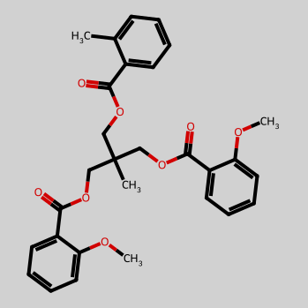 COc1ccccc1C(=O)OCC(C)(COC(=O)c1ccccc1C)COC(=O)c1ccccc1OC